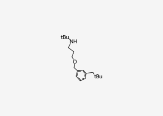 CC(C)(C)Cc1cccc(COCCCNC(C)(C)C)c1